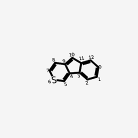 c1ccc2c3csccc-3cc2c1